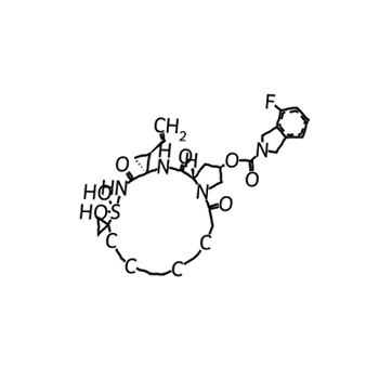 C=C[C@@H]1C[C@@]12NC(=O)[C@@H]1C[C@@H](OC(=O)N3Cc4cccc(F)c4C3)CN1C(=O)CCCCCCCCCC1(CC1)S(O)(O)NC2=O